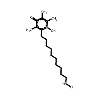 Cc1c(C)n(O)c(CCCCCCCCCCNCl)c(C)c1=O